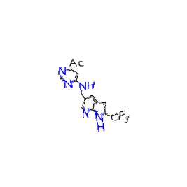 CC(=O)c1cc(NCc2cnc3[nH]c(C(F)(F)F)cc3c2)ncn1